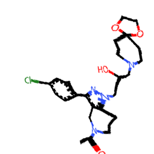 CC(=O)N1CCc2c(c(-c3ccc(Cl)cc3)nn2CC(O)CN2CCC3(CC2)OCCO3)C1